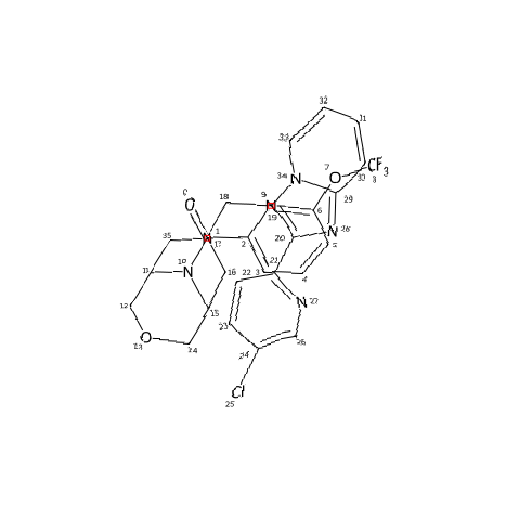 O=C(c1cccc(OC(F)(F)F)n1)N1C2COCC1CN(Cc1c(-c3ccc(Cl)cn3)nc3ccccn13)C2